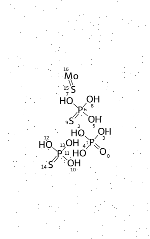 O=P(O)(O)O.OP(O)(O)=S.OP(O)(O)=S.[S]=[Mo]